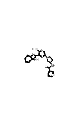 Nc1ncc(N2CCC(NC(=O)c3cccnc3)C2)nc1-c1nc2ccccc2[nH]1